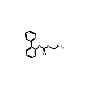 NCOC(=O)Oc1ccccc1-c1ccccc1